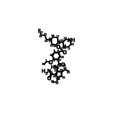 CCOc1ccc(S(=O)(=O)N2CCNCC2N2CCN(CCCF)CC2)cc1C(=O)Nc1c(CC)cn(CC)c1C(N)=O